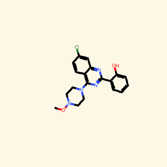 CON1CCN(c2nc(-c3ccccc3O)nc3cc(Cl)ccc23)CC1